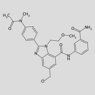 COCCn1c(-c2ccc(N(C)C(C)=O)cc2)nc2cc(CCl)cc(C(=O)Nc3cccc(C(N)=O)c3)c21